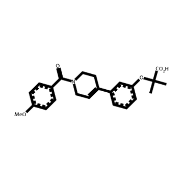 COc1ccc(C(=O)N2CC=C(c3cccc(OC(C)(C)C(=O)O)c3)CC2)cc1